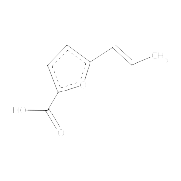 C/C=C/c1ccc(C(=O)O)o1